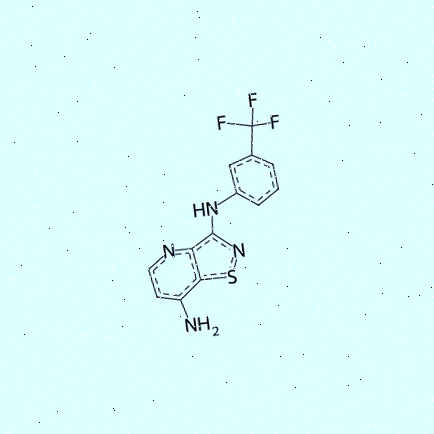 Nc1ccnc2c(Nc3cccc(C(F)(F)F)c3)nsc12